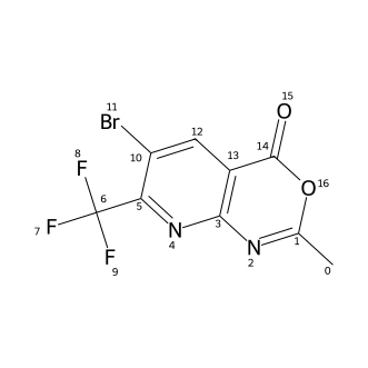 Cc1nc2nc(C(F)(F)F)c(Br)cc2c(=O)o1